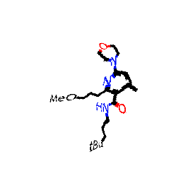 COCCCc1nc(N2CCOCC2)cc(C)c1C(=O)NCCCC(C)(C)C